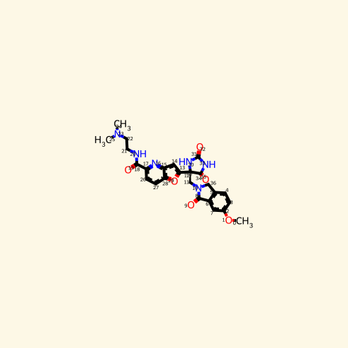 COc1ccc2c(c1)C(=O)N(C[C@@]1(c3cc4nc(C(=O)NCCN(C)C)ccc4o3)NC(=O)NC1=O)C2